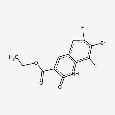 CCOC(=O)c1cc2cc(F)c(Br)c(I)c2[nH]c1=O